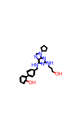 OCCCNc1nc(NCc2ccc(-c3ccccc3O)cc2)c2ncn(C3CCCC3)c2n1